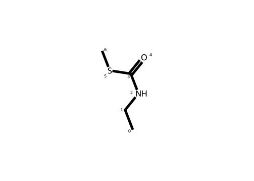 CCNC(=O)SC